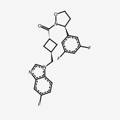 O=C([C@H]1C[C@H](Cn2cnc3cc(F)ccc32)C1)N1OCC[C@H]1c1cc(F)cc(F)c1